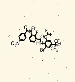 CCN(C(=O)c1ccc([N+](=O)[O-])cc1)c1cccc(C(=O)Nc2c(Br)cc(C(F)(C(F)(F)F)C(F)(F)F)cc2OC(F)F)c1F